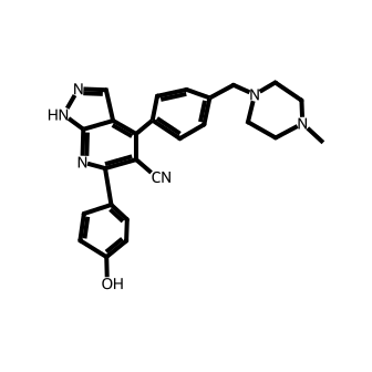 CN1CCN(Cc2ccc(-c3c(C#N)c(-c4ccc(O)cc4)nc4[nH]ncc34)cc2)CC1